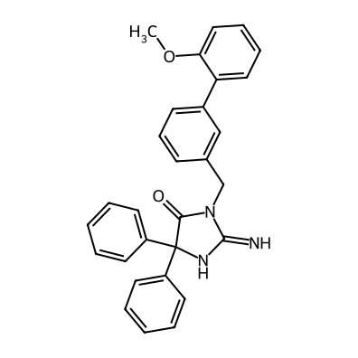 COc1ccccc1-c1cccc(CN2C(=N)NC(c3ccccc3)(c3ccccc3)C2=O)c1